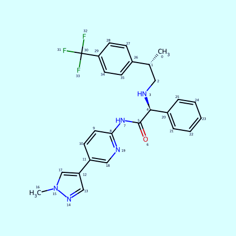 C[C@H](CN[C@H](C(=O)Nc1ccc(-c2cnn(C)c2)cn1)c1ccccc1)c1ccc(C(F)(F)F)cc1